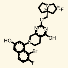 Oc1cc(N2CCc3c(O)nc(OC[C@@]45CCCN4C[C@H](F)C5)nc3C2)c2c(Br)c(F)ccc2c1